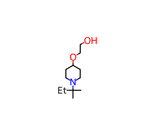 CCC(C)(C)N1CCC(OCCO)CC1